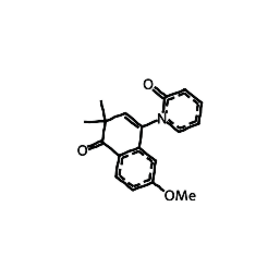 COc1ccc2c(c1)C(n1ccccc1=O)=CC(C)(C)C2=O